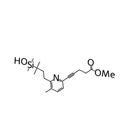 COC(=O)CCC#Cc1ccc(C)c(CCC(C)(C)[Si](C)(C)O)n1